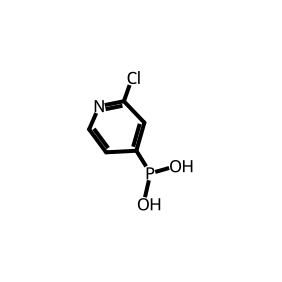 OP(O)c1ccnc(Cl)c1